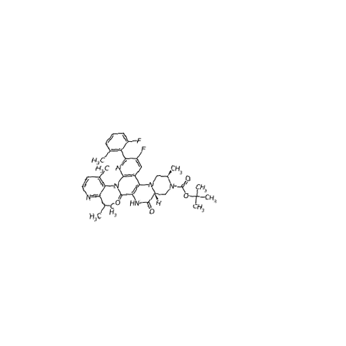 Cc1cccc(F)c1-c1nc2c(cc1F)c1c(c(=O)n2-c2c(C)ccnc2C(C)C)NC(=O)[C@H]2CN(C(=O)OC(C)(C)C)[C@H](C)CN12